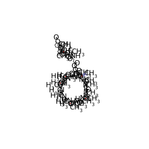 C/C=C/C[C@@H](C)C(OC(=O)OCOC(=O)CCC(=O)NC(C(=O)OCC(=O)[C@@]1(O)[C@H](C)CC2C3CCC4=CC(=O)C=C[C@]4(C)[C@@]3(F)[C@@H](O)C[C@@]21C)C(C)C)[C@@H]1C(=O)N[C@H](CC)C(=O)N(C)CC(=O)N(C)[C@@H](CC(C)C)C(=O)NC(C(C)C)C(=O)N(C)[C@H](CC(C)C)C(=O)NC(C)C(=O)NC(C)C(=O)N(C)C(CC(C)C)C(=O)N(C)[C@H](CC(C)C)C(=O)N(C)C(C(C)C)C(=O)N1C